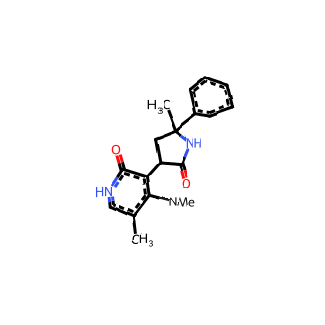 CNc1c(C)c[nH]c(=O)c1C1CC(C)(c2ccccc2)NC1=O